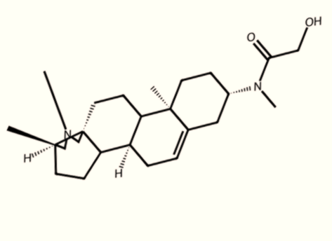 C[C@H]1[C@H]2CCC3[C@@H]4CC=C5C[C@@H](N(C)C(=O)CO)CC[C@]5(C)C4CC[C@@]32CN1C